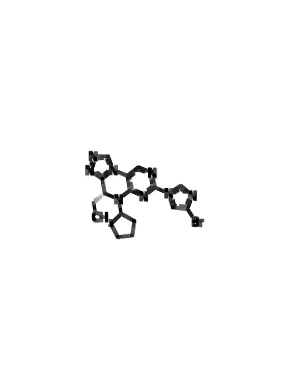 CC[C@@H]1c2nncn2-c2cnc(-n3cnc(Br)c3)nc2N1C1CCCC1